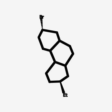 CC[C@H]1CCC2C(CCC3C[C@@H](Br)CCC32)C1